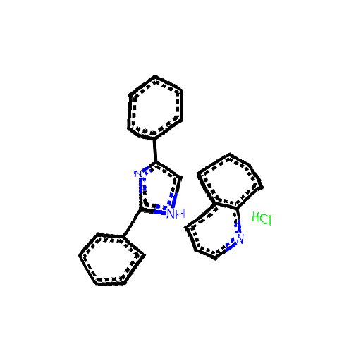 Cl.c1ccc(-c2c[nH]c(-c3ccccc3)n2)cc1.c1ccc2ncccc2c1